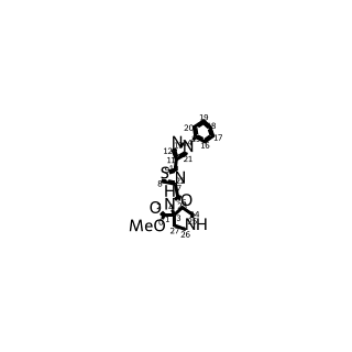 COC(=O)C1(NC(=O)c2csc(-c3cnn(-c4ccccc4)c3)n2)CCNCC1